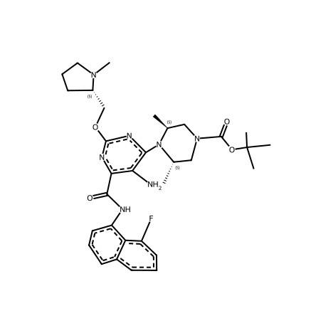 C[C@H]1CN(C(=O)OC(C)(C)C)C[C@H](C)N1c1nc(OC[C@@H]2CCCN2C)nc(C(=O)Nc2cccc3cccc(F)c23)c1N